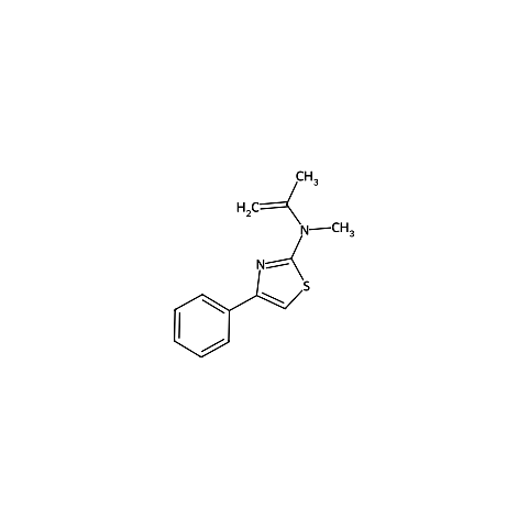 C=C(C)N(C)c1nc(-c2ccccc2)cs1